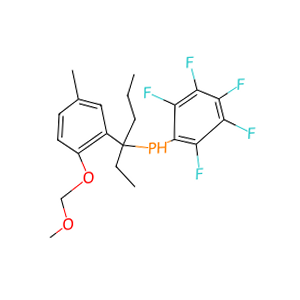 CCCC(CC)(Pc1c(F)c(F)c(F)c(F)c1F)c1cc(C)ccc1OCOC